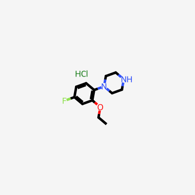 CCOc1cc(F)ccc1N1CCNCC1.Cl